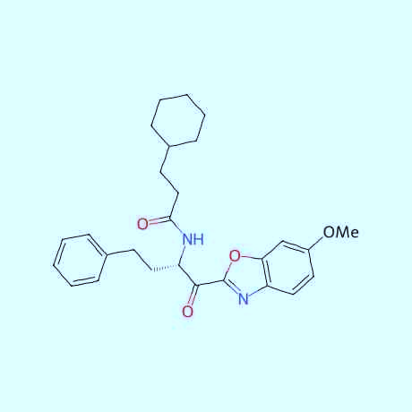 COc1ccc2nc(C(=O)[C@H](CCc3ccccc3)NC(=O)CCC3CCCCC3)oc2c1